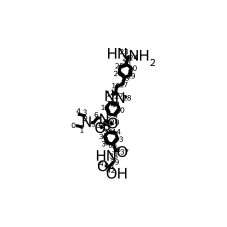 CCN(CC)CCN(c1ccc2c(c1)nc(CCc1ccc(C(=N)N)cc1)n2C)S(=O)(=O)c1ccc(C(=O)NCC(=O)O)cc1